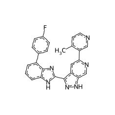 Cc1ccncc1-c1cc2c(-c3nc4c(-c5ccc(F)cc5)cccc4[nH]3)n[nH]c2cn1